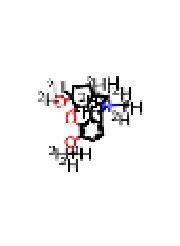 [2H]OC1([2H])C=C[C@@]2([2H])[C@@H]3N(C([2H])([2H])[2H])CC[C@@]24c2c(ccc(OC([2H])([2H])[2H])c2OC14)C3([2H])[2H]